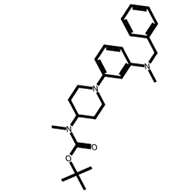 CN(Cc1ccccc1)c1cccc(N2CCC(N(C)C(=O)OC(C)(C)C)CC2)c1